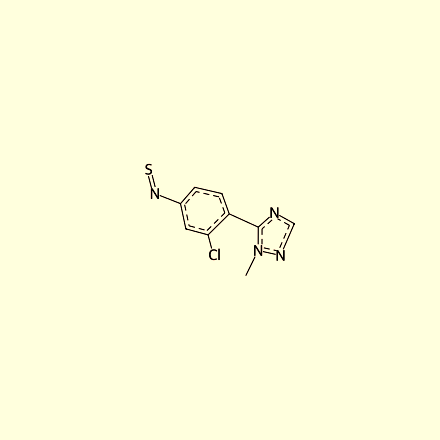 Cn1ncnc1-c1ccc(N=S)cc1Cl